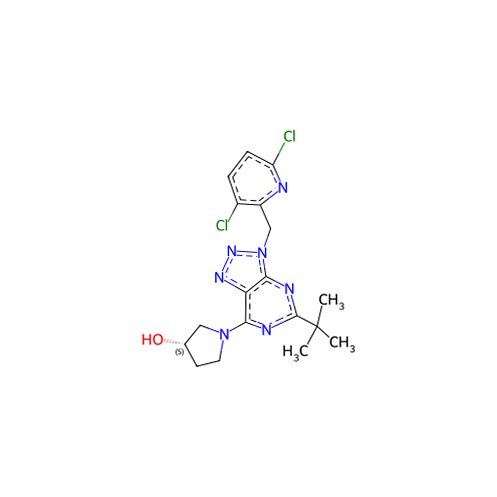 CC(C)(C)c1nc(N2CC[C@H](O)C2)c2nnn(Cc3nc(Cl)ccc3Cl)c2n1